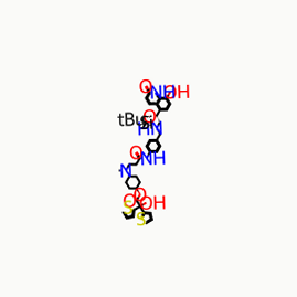 CN(CCC(=O)Nc1ccc(CNC[C@H](O[Si](C)(C)C(C)(C)C)c2ccc(O)c3[nH]c(=O)ccc23)cc1)[C@H]1CC[C@H](OC(=O)C(O)(c2cccs2)c2cccs2)CC1